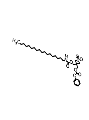 CCCCCCCCCCCCCCCCCCNC(=O)OCC1(COC(=O)Oc2ccccc2)CS(=O)(=O)C1